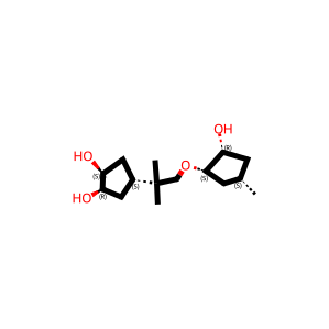 C[C@H]1C[C@@H](O)[C@@H](OCC(C)(C)[C@@H]2C[C@@H](O)[C@@H](O)C2)C1